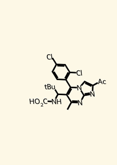 CC(=O)c1cn2c(-c3ccc(Cl)cc3Cl)c(C(NC(=O)O)C(C)(C)C)c(C)nc2n1